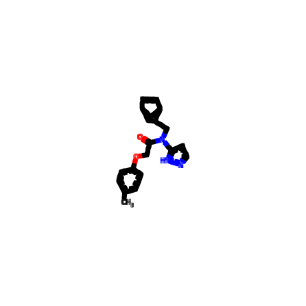 Cc1ccc(OCC(=O)N(CC2CC3C=CC2C3)c2ccn[nH]2)cc1